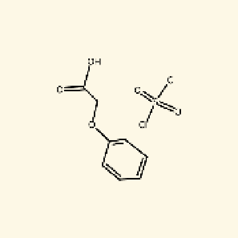 O=C(O)COc1ccccc1.O=S(=O)(Cl)Cl